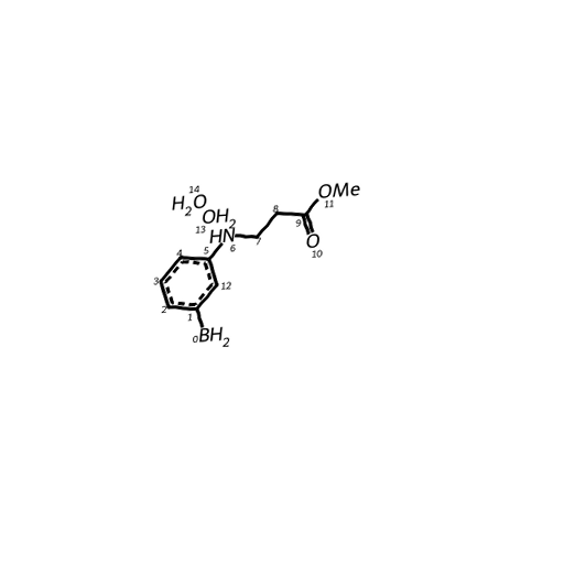 Bc1cccc(NCCC(=O)OC)c1.O.O